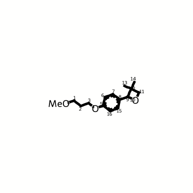 COCCCOc1ccc(C2OCC2(C)C)cc1